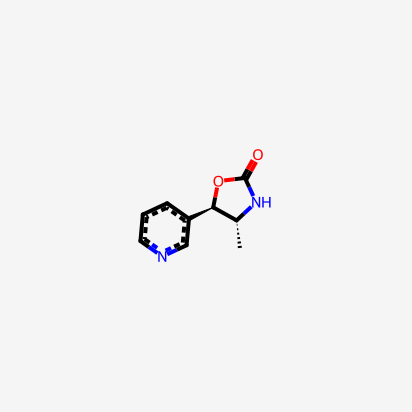 C[C@H]1NC(=O)O[C@@H]1c1cccnc1